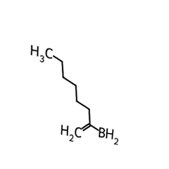 BC(=C)CCCCCC